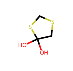 OC1(O)CSCS1